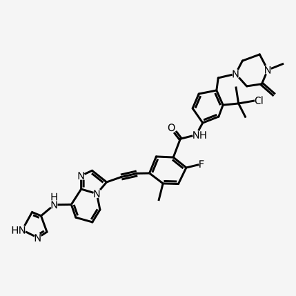 C=C1CN(Cc2ccc(NC(=O)c3cc(C#Cc4cnc5c(Nc6cn[nH]c6)cccn45)c(C)cc3F)cc2C(C)(C)Cl)CCN1C